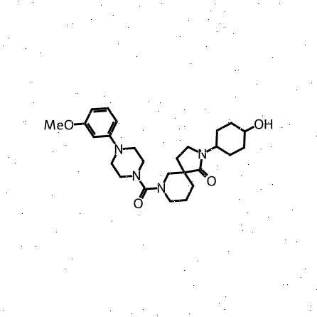 COc1cccc(N2CCN(C(=O)N3CCCC4(CCN(C5CCC(O)CC5)C4=O)C3)CC2)c1